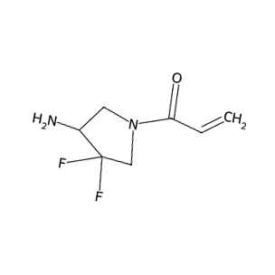 C=CC(=O)N1CC(N)C(F)(F)C1